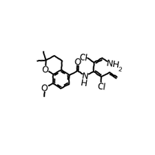 C=C/C(Cl)=C(NC(=O)c1ccc(OC)c2c1CCC(C)(C)O2)\C(Cl)=C/N